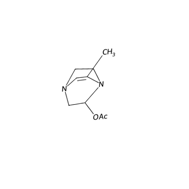 CC(=O)OC1CN2C=C(C)N1CC2